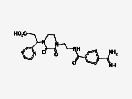 N=C(N)c1ccc(C(=O)NCCN2CCN(C(CC(=O)O)c3ccccn3)C(=O)C2=O)cc1